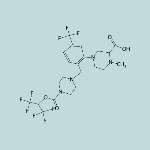 CN1CCN(c2cc(C(F)(F)F)ccc2CN2CCN(C(=O)OC(C(F)(F)F)C(F)(F)F)CC2)CC1C(=O)O